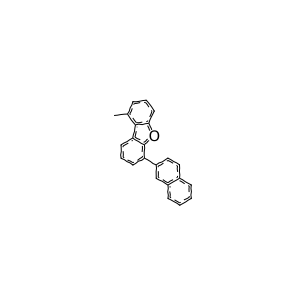 Cc1cccc2oc3c(-c4ccc5ccccc5c4)cccc3c12